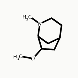 COC1CC2CCN(C)C1C2